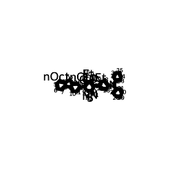 CCCCCCCCC1(CCCCCCCC)c2ccccc2-c2ccc(-c3c(OCC)c(OCC)c(-c4ccc(N(c5ccccc5)c5ccccc5)cc4)c4nsnc34)cc21